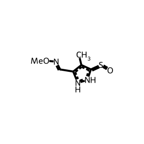 CON=Cc1[nH][nH]c(=S=O)c1C